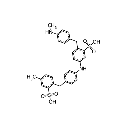 CNc1ccc(Cc2ccc(Nc3ccc(Cc4ccc(C)cc4S(=O)(=O)O)cc3)cc2S(=O)(=O)O)cc1